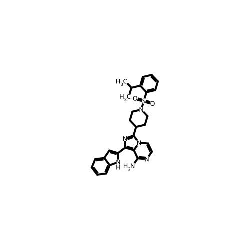 CC(C)c1ccccc1S(=O)(=O)N1CCC(c2nc(-c3cc4ccccc4[nH]3)c3c(N)nccn23)CC1